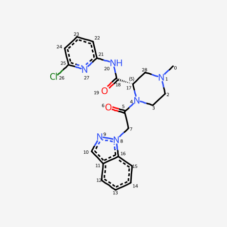 CN1CCN(C(=O)Cn2ncc3ccccc32)[C@H](C(=O)Nc2cccc(Cl)n2)C1